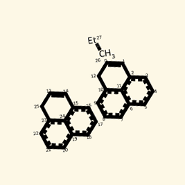 C1=Cc2cccc3cccc(c23)C1.C1=Cc2cccc3cccc(c23)C1.CCC